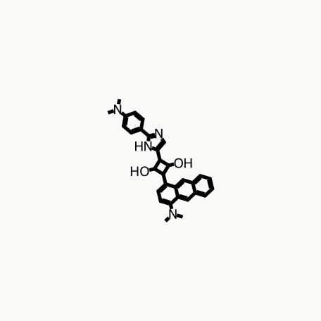 CN(C)c1ccc(-c2ncc(C3C(O)C(c4ccc(N(C)C)c5cc6ccccc6cc45)C3O)[nH]2)cc1